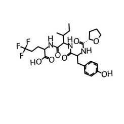 CCC(C)C(NC(=O)C(Cc1ccc(O)cc1)NC(=O)[C@@H]1CCCO1)C(=O)NC(CCC(F)(F)F)C(=O)O